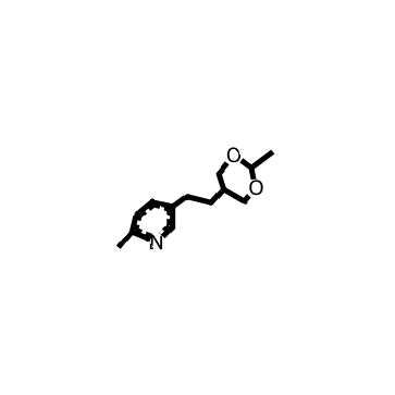 Cc1ccc(CCC2COC(C)OC2)cn1